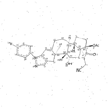 CC(=O)O[C@]1(C(=O)SCC#N)CC[C@H]2[C@@H]3CCC4=Cc5c(cnn5-c5ccc(F)cc5)C[C@]4(C)[C@H]3[C@@H](O)C[C@@]21C